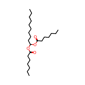 CCCCCCCCCC(OC(=O)CCCCCC)OC(=O)CCCCCC